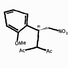 COc1ccccc1[C@H](C[N+](=O)[O-])C(C(C)=O)C(C)=O